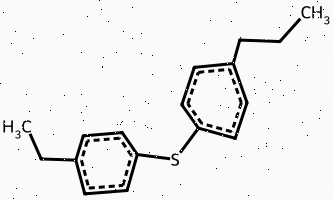 CCCc1ccc(Sc2ccc(CC)cc2)cc1